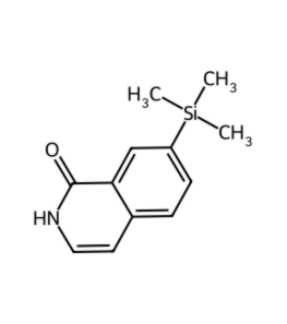 C[Si](C)(C)c1ccc2cc[nH]c(=O)c2c1